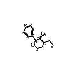 CCC1CCOC(c2ccccc2)C1=O